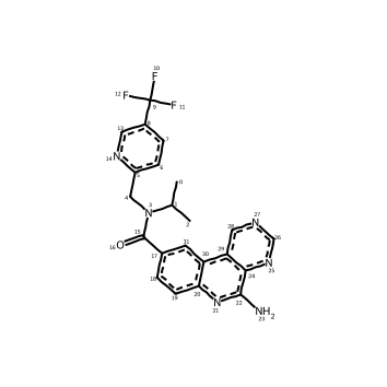 CC(C)N(Cc1ccc(C(F)(F)F)cn1)C(=O)c1ccc2nc(N)c3ncncc3c2c1